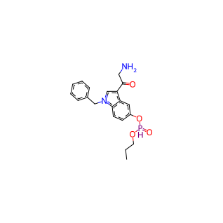 CCCO[PH](=O)Oc1ccc2c(c1)c(C(=O)CN)cn2Cc1ccccc1